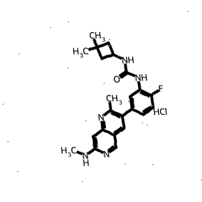 CNc1cc2nc(C)c(-c3ccc(F)c(NC(=O)NC4CC(C)(C)C4)c3)cc2cn1.Cl